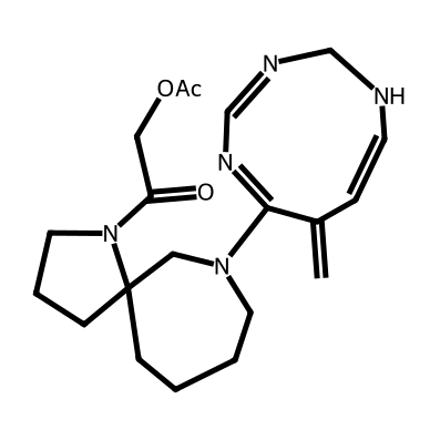 C=C1/C=C\NC/N=C\N=C/1N1CCCCC2(CCCN2C(=O)COC(C)=O)C1